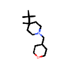 CC(C)(C)C1(C)CCN(CC2CCOCC2)CC1